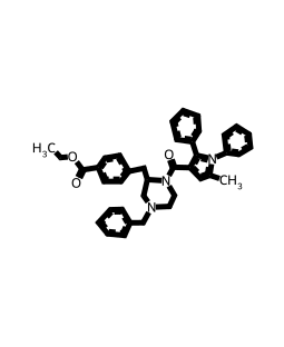 CCOC(=O)c1ccc(CC2CN(Cc3ccccc3)CCN2C(=O)c2cc(C)n(-c3ccccc3)c2-c2ccccc2)cc1